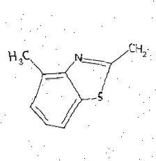 [CH2]c1nc2c(C)cccc2s1